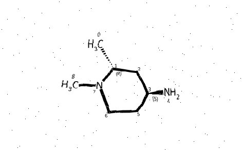 C[C@@H]1C[C@@H](N)CCN1C